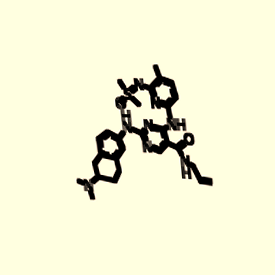 C=CCNC(=O)c1cnc(Nc2ccc3c(c2)CCC(N(C)C)C3)nc1Nc1ccc(C)c(N=S(C)(C)=O)n1